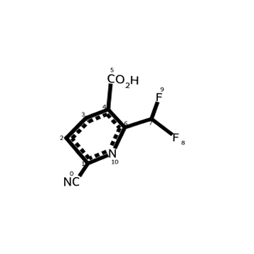 N#Cc1ccc(C(=O)O)c(C(F)F)n1